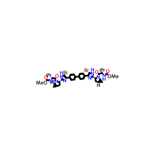 COC(=O)N[C@H](C(=O)N1C2C[C@@H]2C[C@H]1c1nc(-c2ccc(-c3ccc(-c4nc([C@@H]5CC6C[C@H]6N5C(=O)[C@@H](NC(=O)OC)C(C)C)[nH]c4Br)cc3)cc2)c(Br)[nH]1)C(C)C